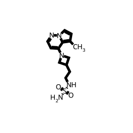 Cc1ccn2nccc(N3CC(CCNS(N)(=O)=O)C3)c12